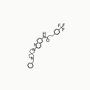 O=C(CCc1ccc(C(F)(F)F)cc1)Nc1ccc2nc(N3CCC4(CCN(Cc5ccccc5)C4)C3)ccc2c1